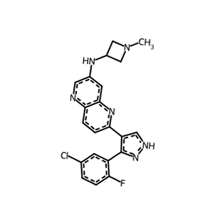 CN1CC(Nc2cnc3ccc(-c4c[nH]nc4-c4cc(Cl)ccc4F)nc3c2)C1